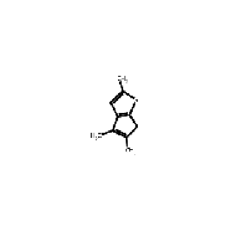 CC1=C(C)c2cc(C)sc2[CH]1